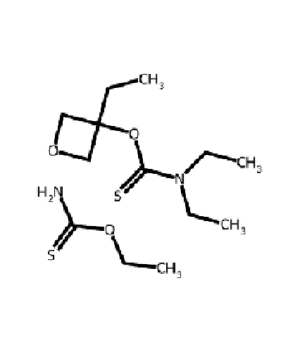 CCN(CC)C(=S)OC1(CC)COC1.CCOC(N)=S